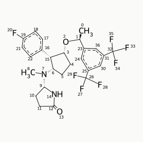 C[C@H](O[C@@H]1CC[C@H](N(C)[C@H]2CCC(=O)N2)[C@@H]1c1ccc(F)cc1)c1cc(C(F)(F)F)cc(C(F)(F)F)c1